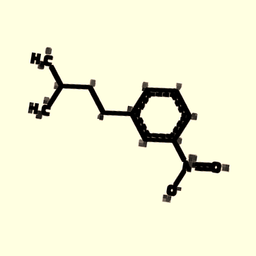 CC(C)CCc1[c]ccc([N+](=O)[O-])c1